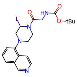 CC(C)(C)OC(=O)NCC(=O)N1CCN(c2cccc3cnccc23)CC1I